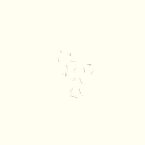 CC[S+]([O-])Nc1c(-c2cc(Cl)c3ncccc3c2)c(-c2ccccc2)nc2[nH]c(=O)ccc12